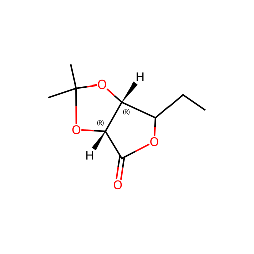 CCC1OC(=O)[C@@H]2OC(C)(C)O[C@H]12